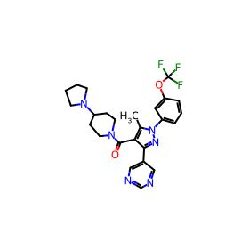 Cc1c(C(=O)N2CCC(N3CCCC3)CC2)c(-c2cncnc2)nn1-c1cccc(OC(F)(F)F)c1